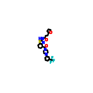 O=C(C=Cc1ccco1)Nc1nc2c(s1)CCCC2C(=O)N1CCN(c2cccc(C(F)(F)F)c2)CC1